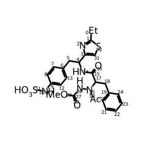 CCc1nc(C(Cc2ccc(NS(=O)(=O)O)cc2)NC(=O)C(Cc2ccccc2)N(NC(=O)OC)C(C)=O)cs1